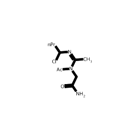 CCCC(Cl)/N=C(/C)N(CC(N)=O)C(C)=O